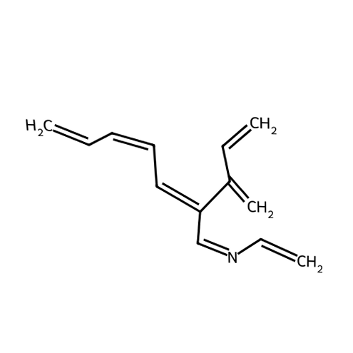 C=C\C=C/C=C(/C=N\C=C)C(=C)C=C